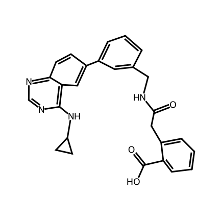 O=C(Cc1ccccc1C(=O)O)NCc1cccc(-c2ccc3ncnc(NC4CC4)c3c2)c1